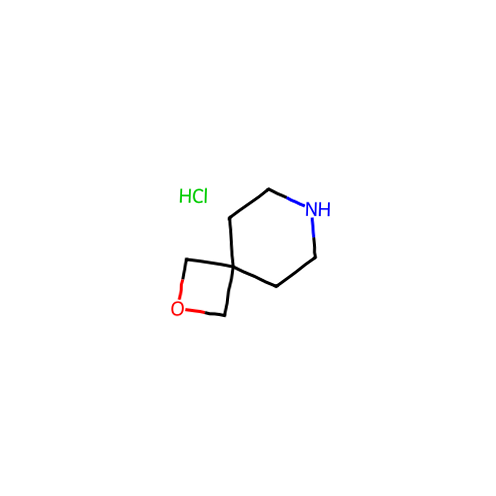 C1CC2(CCN1)COC2.Cl